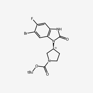 CC(C)(C)OC(=O)N1CC[C@H](n2c(=O)[nH]c3cc(F)c(Br)cc32)C1